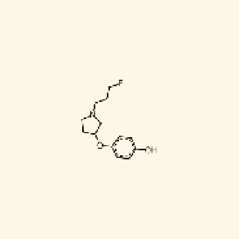 Oc1ccc(OC2CCN(CCCF)C2)cc1